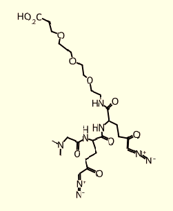 CN(C)CC(=O)NC(CCC(=O)C=[N+]=[N-])C(=O)NC(CCC(=O)C=[N+]=[N-])C(=O)NCCOCCOCCOCCC(=O)O